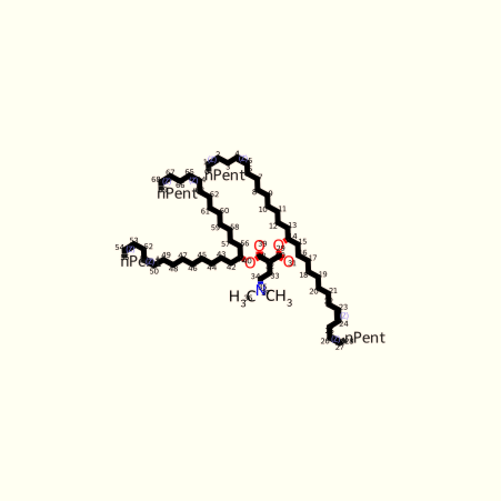 CCCCC/C=C\C/C=C\CCCCCCCCC(CCCCCCCC/C=C\C/C=C\CCCCC)OC(=O)C(CCN(C)C)C(=O)OC(CCCCCCCC/C=C\C/C=C\CCCCC)CCCCCCCC/C=C\C/C=C\CCCCC